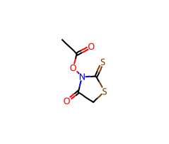 CC(=O)ON1C(=O)CSC1=S